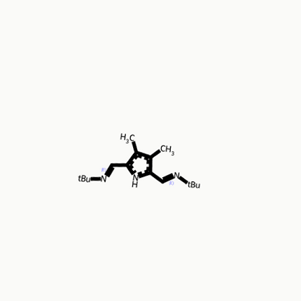 Cc1c(/C=N/C(C)(C)C)[nH]c(/C=N/C(C)(C)C)c1C